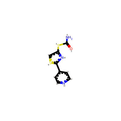 NC(=O)Sc1csc(-c2ccncc2)n1